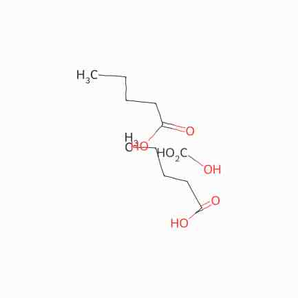 CCCCC(=O)O.CCCCC(=O)O.O=C(O)O